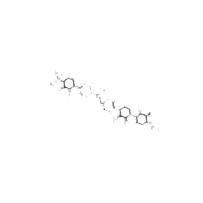 CCOc1ccc(-c2ccc(C3=CCC(OC(=O)C4CCC(c5ccc(C(O)CC)c(F)c5F)CC4)CC3)c(F)c2F)c(F)c1F